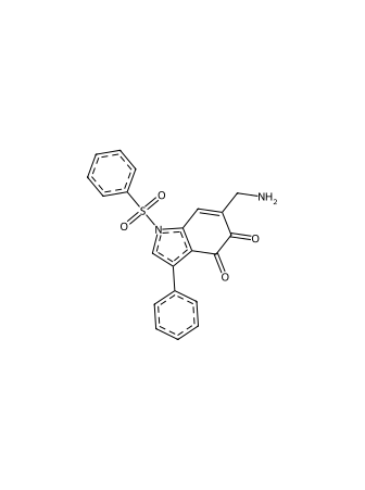 NCC1=Cc2c(c(-c3ccccc3)cn2S(=O)(=O)c2ccccc2)C(=O)C1=O